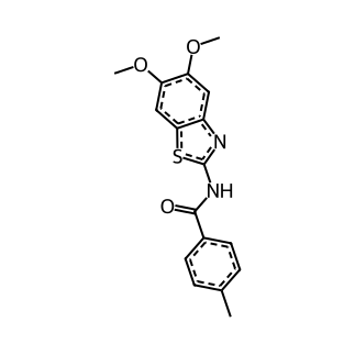 COc1cc2nc(NC(=O)c3ccc(C)cc3)sc2cc1OC